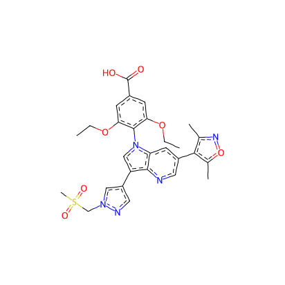 CCOc1cc(C(=O)O)cc(OCC)c1-n1cc(-c2cnn(CS(C)(=O)=O)c2)c2ncc(-c3c(C)noc3C)cc21